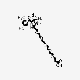 C[C@@H]1C[C@@H](O)CN1C(=O)[C@@H](NC(=O)CCOCCOCCOCCOCCOCCC(=O)O)C(C)(C)C